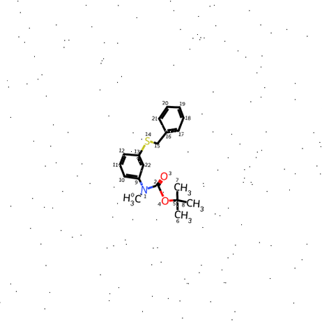 CN(C(=O)OC(C)(C)C)c1cccc(SCc2ccccc2)c1